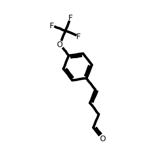 O=CC/C=C/c1ccc(OC(F)(F)F)cc1